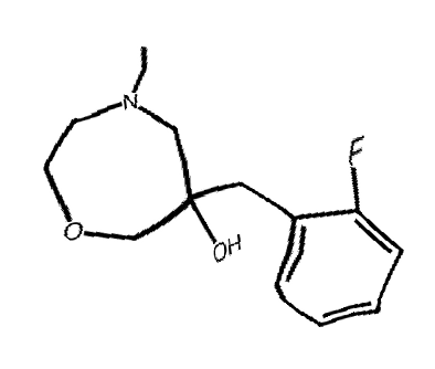 CN1CCOCC(O)(Cc2ccccc2F)C1